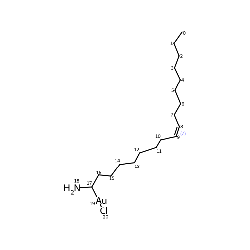 CCCCCCCC/C=C\CCCCCCC[CH](N)[Au][Cl]